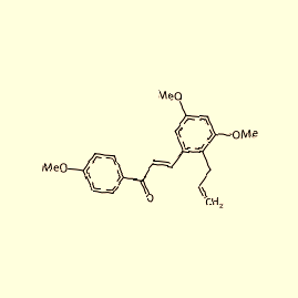 C=CCc1c(C=CC(=O)c2ccc(OC)cc2)cc(OC)cc1OC